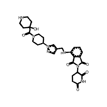 O=C1CCC(N2C(=O)c3cccc(NCc4cnn(C5CCN(C(=O)C6(O)CCNCC6)CC5)c4)c3C2=O)C(=O)N1